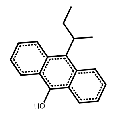 CCC(C)c1c2ccccc2c(O)c2ccccc12